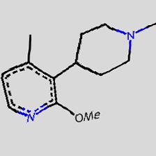 COc1nccc(C)c1C1CCN(C)CC1